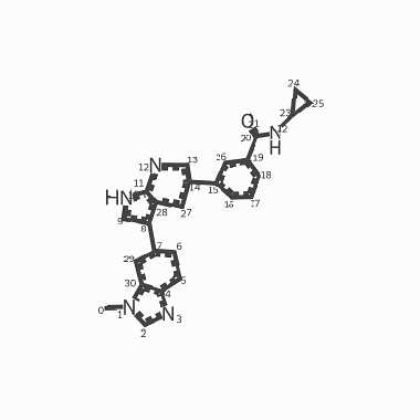 Cn1cnc2ccc(-c3c[nH]c4ncc(-c5cccc(C(=O)NC6CC6)c5)cc34)cc21